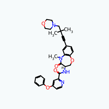 CN1C(=O)[C@H](NC(=O)c2cc(Oc3ccccc3)ccn2)COc2ccc(C#CC(C)(C)CN3CCOCC3)cc21